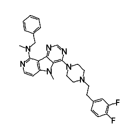 CN(Cc1ccccc1)c1nccc2c1c1ncnc(N3CCN(CCc4ccc(F)c(F)c4)CC3)c1n2C